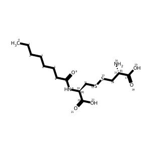 CCCCCCCC(=O)N[C@@H](CSSC[C@H](N)C(=O)O)C(=O)O